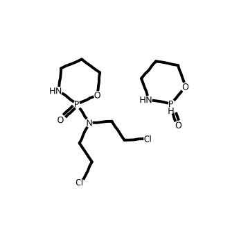 O=P1(N(CCCl)CCCl)NCCCO1.O=[PH]1NCCCO1